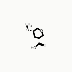 CO[C@@H]1COC[C@H](C(=O)O)C1